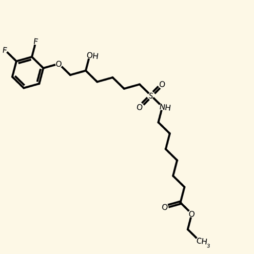 CCOC(=O)CCCCCCNS(=O)(=O)CCCCC(O)COc1cccc(F)c1F